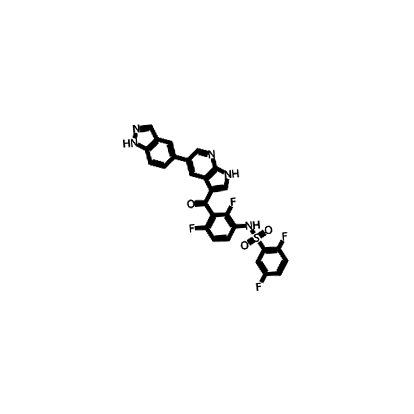 O=C(c1c(F)ccc(NS(=O)(=O)c2cc(F)ccc2F)c1F)c1c[nH]c2ncc(-c3ccc4[nH]ncc4c3)cc12